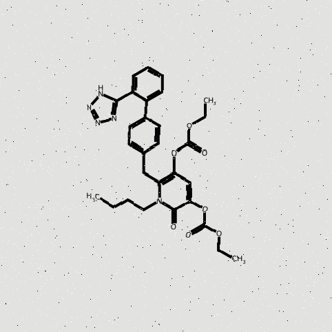 CCCCn1c(Cc2ccc(-c3ccccc3-c3nnn[nH]3)cc2)c(OC(=O)OCC)cc(OC(=O)OCC)c1=O